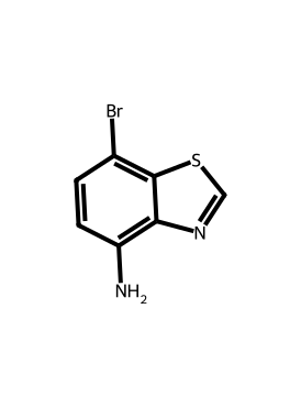 Nc1ccc(Br)c2scnc12